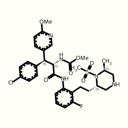 COC(=O)N[C@H](C(=O)Nc1cccc(F)c1CC[C@H]1CNC[C@H](C)N1S(C)(=O)=O)[C@@H](c1ccc(Cl)cc1)c1ccc(OC)nc1